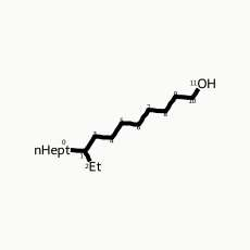 CCCCCCCC(CC)CCCCCCCCO